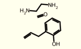 C=CCc1ccccc1O.C=O.NCCN